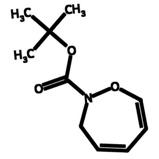 CC(C)(C)OC(=O)N1CC=CC=CO1